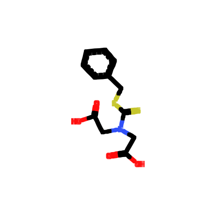 O=C(O)CN(CC(=O)O)C(=S)SCc1ccccc1